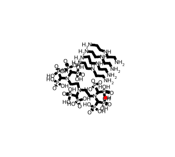 NCCNCCN.NCCNCCN.NCCNCCN.NCCNCCN.O=P(O)(O)C(N(CCN(C(P(=O)(O)O)P(=O)(O)O)C(P(=O)(O)O)P(=O)(O)O)CCN(C(P(=O)(O)O)P(=O)(O)O)C(P(=O)(O)O)P(=O)(O)O)P(=O)(O)O